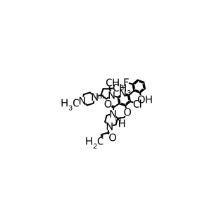 C=CC(=O)N1CCN2C(=O)c3c(N4C[C@@H](N5CCN(C)CC5)CC4(C)C)nc(-c4c(O)cccc4F)c(Cl)c3OC[C@H]2C1